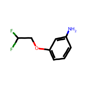 Nc1cccc(OCC(F)F)c1